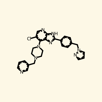 Clc1cnc2[nH]c(-c3ccc(Cn4cccn4)cc3)nc2c1N1CCN(Cc2cccnc2)CC1